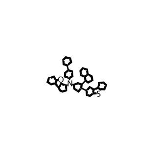 c1ccc(-c2ccc(N(c3ccc(-c4ccc5sc6ccccc6c5c4)c(-c4cccc5ccccc45)c3)c3cccc4c3oc3ccccc34)cc2)cc1